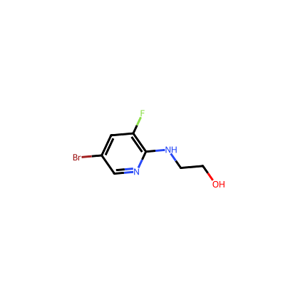 OCCNc1ncc(Br)cc1F